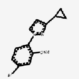 COc1cc(Br)ccc1-n1ccc(C2CC2)n1